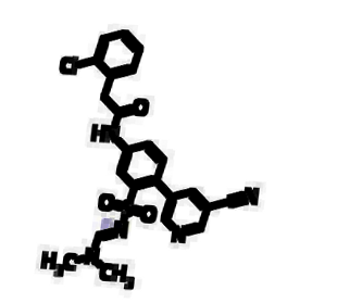 CN(C)/C=N/S(=O)(=O)c1cc(NC(=O)Cc2ccccc2Cl)ccc1-c1cncc(C#N)c1